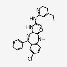 CCC1=CC(NC(=S)NC2N=C(c3ccccc3)c3cc(Cl)ccc3N(C)C2=O)=NCC1